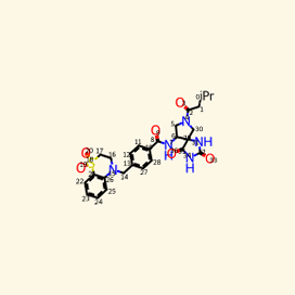 CC(C)CC(=O)N1CC(NC(=O)c2ccc(CN3CCS(=O)(=O)c4ccccc43)cc2)C2(C1)NC(=O)NC2=O